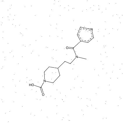 CN(CCC1CCN(C(=O)O)CC1)C(=O)c1ccncc1